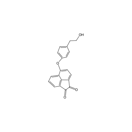 O=C1C(=O)c2ccc(Oc3ccc(CCO)cc3)c3cccc1c23